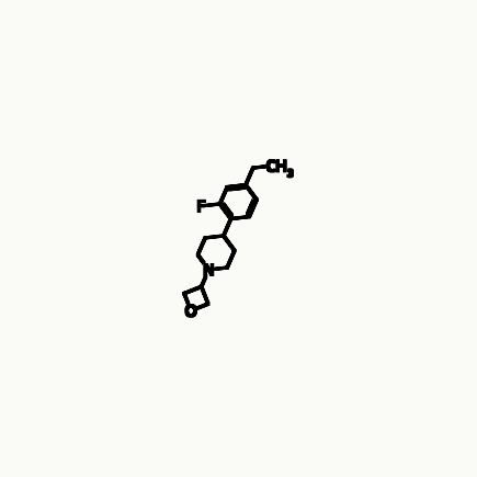 CCc1ccc(C2CCN(C3COC3)CC2)c(F)c1